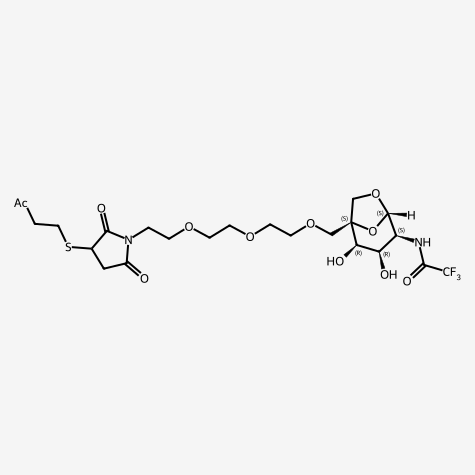 CC(=O)CCSC1CC(=O)N(CCOCCOCCOC[C@@]23CO[C@@H](O2)[C@@H](NC(=O)C(F)(F)F)[C@@H](O)[C@H]3O)C1=O